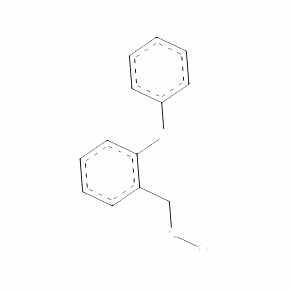 CCNCc1ccccc1Sc1ccccc1